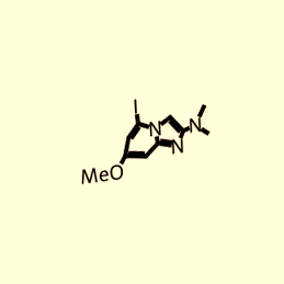 COc1cc(I)n2cc(N(C)C)nc2c1